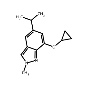 CC(C)c1cc(OC2CC2)c2nn(C)cc2c1